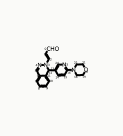 O=CC=CN1N=Cc2ccccc2C1c1ccc(N2CCOCC2)nc1